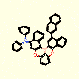 c1ccc(N(c2ccccc2)c2cc3c(c4ccccc24)B2c4cc(-c5ccc6ccccc6c5)c5ccccc5c4Oc4cccc(c42)O3)cc1